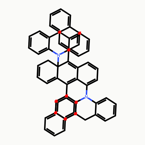 C1=CCC2(N3c4ccccc4Cc4ccccc43)C(=C1)C(c1ccc3ccccc3c1)=c1c(N3c4ccccc4Cc4ccccc43)cccc1=C2c1ccc2ccccc2c1